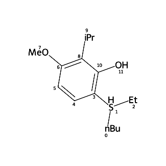 CCCC[SH](CC)c1ccc(OC)c(C(C)C)c1O